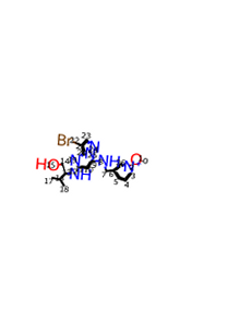 CO[n+]1cccc(CNc2cc(N[C@H](CO)C(C)C)nc3c(Br)cnn23)c1